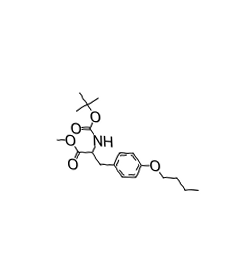 CCCCOc1ccc(CC(NC(=O)OC(C)(C)C)C(=O)OC)cc1